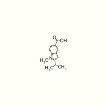 CC(C)c1cc2cc(C(=O)O)ccc2n1C